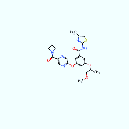 COC[C@H](C)Oc1cc(Oc2cnc(C(=O)N3CCC3)cn2)cc(C(=O)Nc2nc(C)cs2)c1